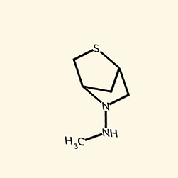 CNN1CC2CC1CS2